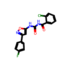 O=C(NC(=O)c1ccccc1Cl)Nc1cc(-c2ccc(F)cc2)no1